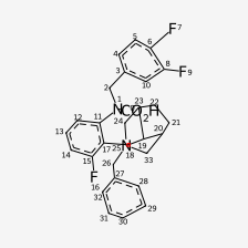 O=C(O)N(Cc1ccc(F)c(F)c1)c1cccc(F)c1CC1C2CCC1CN(Cc1ccccc1)C2